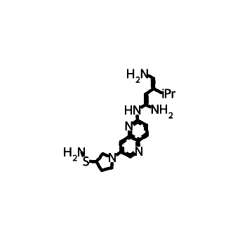 CC(C)C(=C/N)/C=C(\N)Nc1ccc2ncc(N3CCC(SN)C3)cc2n1